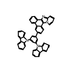 c1ccc2c(c1)c1cc(-c3cc(-n4c5ccccc5c5ccccc54)cc(-n4c5ccccc5c5ccccc54)c3)ccc1c1c2nc2ccccn21